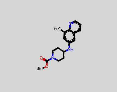 Cc1cc(NC2CCN(C(=O)OC(C)(C)C)CC2)cc2cccnc12